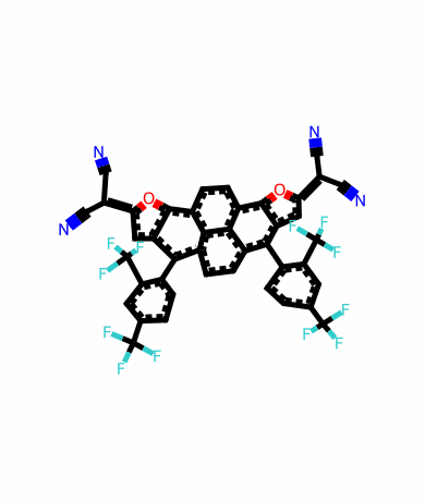 N#CC(C#N)=c1cc2c(-c3ccc(C(F)(F)F)cc3C(F)(F)F)c3ccc4c(-c5ccc(C(F)(F)F)cc5C(F)(F)F)c5cc(=C(C#N)C#N)oc5c5ccc(c2o1)c3c45